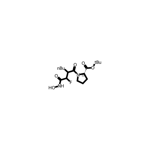 CCCCC(C(=O)N1CCC[C@H]1C(=O)OC(C)(C)C)C(F)C(=O)NO